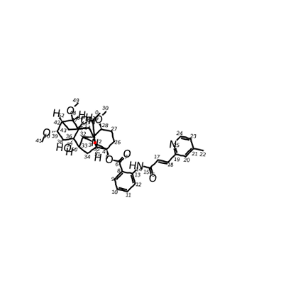 CCN1C[C@]2(OC(=O)c3ccccc3NC(=O)/C=C/c3cc(C)ccn3)CC[C@H](OC)[C@]34C1[C@@H](C[C@H]23)[C@@]1(O)C[C@H](OC)[C@H]2C[C@@H]4C1(O)[C@H]2OC